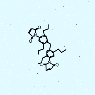 CCCc1cc(N2C(=O)C=CC2=O)c(CCC)cc1Cc1cc(CCC)c(N2C(=O)C=CC2=O)cc1CCC